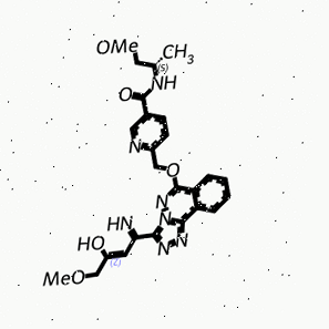 COC/C(O)=C/C(=N)c1nnc2c3ccccc3c(OCc3ccc(C(=O)N[C@@H](C)COC)cn3)nn12